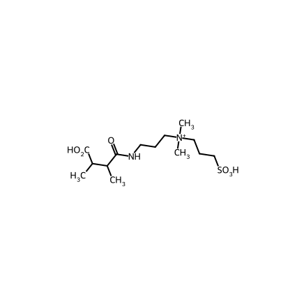 CC(C(=O)O)C(C)C(=O)NCCC[N+](C)(C)CCCS(=O)(=O)O